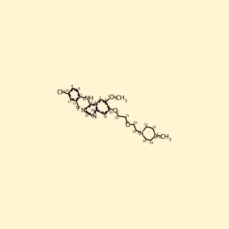 COc1cc2c(Nc3ccc(Cl)cc3F)ncnc2cc1OCCOCCN1CCN(C)CC1